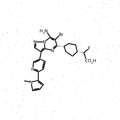 Cn1cccc1-c1ccc(-c2cnn3c(N)c(Br)c([C@H]4CC[C@@H](C(F)C(=O)O)CC4)nc23)cn1